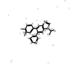 Cc1ccc(-c2cc3ncn(C(C)C)c3cc2-c2cccnc2)cc1F